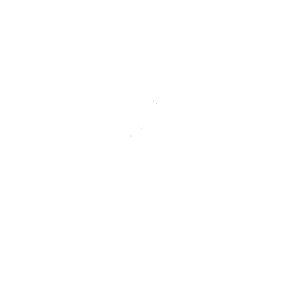 CCC1CCO[C@H](Cn2cc(N)cn2)CC1